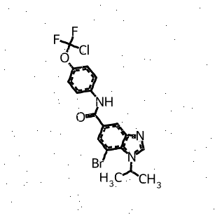 CC(C)n1cnc2cc(C(=O)Nc3ccc(OC(F)(F)Cl)cc3)cc(Br)c21